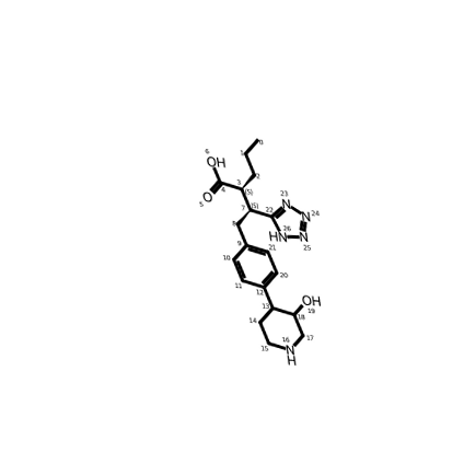 CCC[C@H](C(=O)O)[C@H](Cc1ccc(C2CCNCC2O)cc1)c1nnn[nH]1